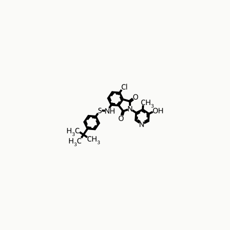 Cc1c(O)cncc1N1C(=O)c2c(Cl)ccc(NSc3ccc(C(C)(C)C)cc3)c2C1=O